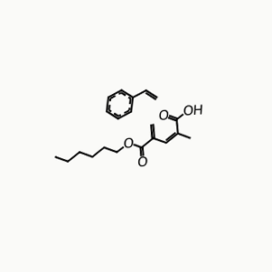 C=C(C=C(C)C(=O)O)C(=O)OCCCCCC.C=Cc1ccccc1